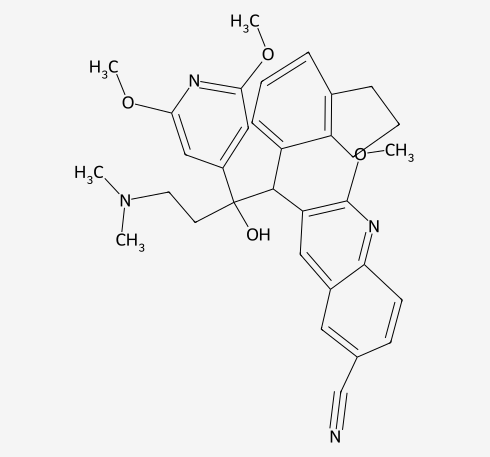 COc1cc(C(O)(CCN(C)C)C(c2cc3cc(C#N)ccc3nc2OC)c2cccc3c2CCC3)cc(OC)n1